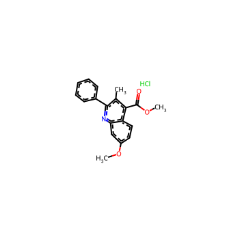 COC(=O)c1c(C)c(-c2ccccc2)nc2cc(OC)ccc12.Cl